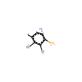 CCc1c(C)ccc(P)c1CC.I